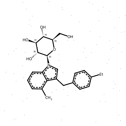 CCc1ccc(Cc2cn([C@@H]3O[C@H](CO)[C@@H](O)[C@H](O)[C@H]3O)c3cccc(C)c23)cc1